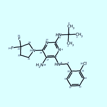 CC(C)(C)Nc1nc(NCc2ccccc2Cl)c(N)c(N2CCC(F)(F)C2)n1